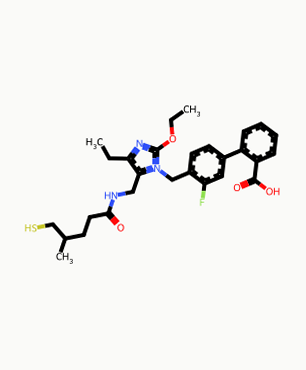 CCOc1nc(CC)c(CNC(=O)CCC(C)CS)n1Cc1ccc(-c2ccccc2C(=O)O)cc1F